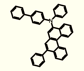 c1ccc(-c2ccc(N(c3ccccc3)c3cc4cc(-c5ccccc5)c5ccccc5c4c4ccccc34)cc2)cc1